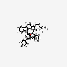 C=C/C=C\c1c(C)n(-c2ccccc2)c2c1ccc1c3ccccc3n(-c3nc(-c4ccccc4)nc(-c4ccccc4)n3)c12